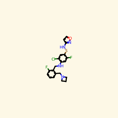 Fc1cc(NCc2c(F)cccc2CN2CCC2)c(Cl)cc1SNc1ccon1